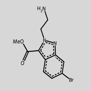 COC(=O)c1c2ccc(Br)cc2nn1CCN